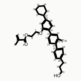 C=C(C)C(=O)OCCOc1cc(C2CCCCC2)ccc1-c1ccc(-c2ccc(CCCO)cc2)c(F)c1